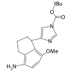 COc1ccc(N)c2c1C(c1cn(C(=O)OC(C)(C)C)cn1)CCC2